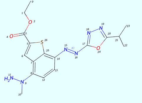 CCOC(=O)c1cc2c(N(C)N)ccc(/N=N/c3nnc(C(C)C)o3)c2s1